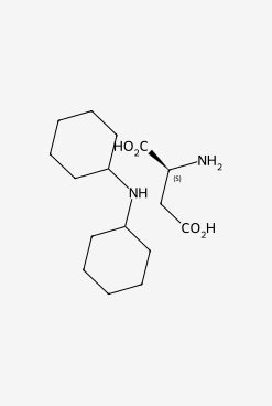 C1CCC(NC2CCCCC2)CC1.N[C@@H](CC(=O)O)C(=O)O